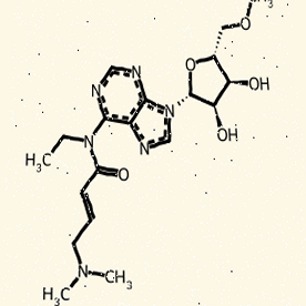 CCN(C(=O)/C=C/CN(C)C)c1ncnc2c1ncn2[C@@H]1O[C@H](COC)[C@@H](O)[C@H]1O